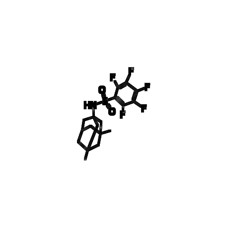 CC12CC3CC(C)(C1)CC(NS(=O)(=O)c1c(F)c(F)c(F)c(F)c1F)(C3)C2